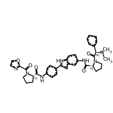 CN(C)[C@@H](C(=O)N1CCC[C@H]1C(=O)Nc1ccc2[nH]c(-c3ccc(NC(=O)[C@@H]4CCCN4C(=O)c4ncco4)cc3)cc2c1)c1ccccc1